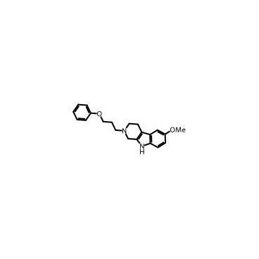 COc1ccc2[nH]c3c(c2c1)CCN(CCCOc1ccccc1)C3